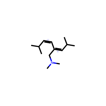 CC(C)/C=C\C(=C/C(C)C)CN(C)C